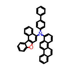 c1ccc(-c2ccc(N(c3cccc4c3ccc3c5ccccc5ccc43)c3cc4oc5ccccc5c4c4ccccc34)cc2)cc1